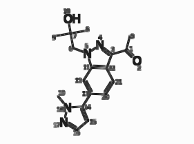 CC(=O)c1nn(CC(C)(C)O)c2cc(-c3ccnn3C)ccc12